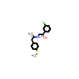 CSc1ccc(C[C@@H](C)NC[C@H](O)c2cccc(Cl)c2)cc1